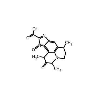 CC1CCN2c3c1cc1c(c3C(C)C(=O)C2C)[N+](=O)C(C(=O)O)=N1